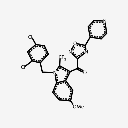 COc1ccc2c(c1)c(C(=O)c1noc(-c3ccncc3)n1)c(C(F)(F)F)n2Cc1ccc(Cl)cc1Cl